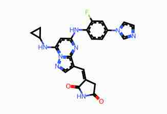 O=C1CC(=Cc2cnn3c(NC4CC4)cc(Nc4ccc(-n5ccnc5)cc4F)nc23)C(=O)N1